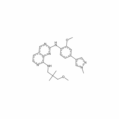 COCC(C)(C)CNc1nccc2cnc(Nc3ccc(-c4cnn(C)c4)cc3OC)nc12